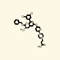 CN(Cc1cc(Oc2ccc(N3CCN(CCC(=O)O)CC3)nc2)nc(-c2cc(Cl)cc(Cl)c2)c1)C(=O)OCc1ccccc1